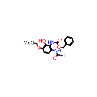 CCC(=O)Nc1ccc(OCOC)c(O)c1NC(=O)OCc1ccccc1